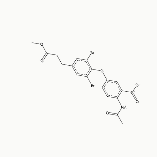 COC(=O)CCc1cc(Br)c(Oc2ccc(NC(C)=O)c([N+](=O)[O-])c2)c(Br)c1